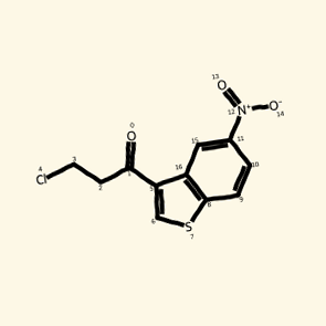 O=C(CCCl)c1csc2ccc([N+](=O)[O-])cc12